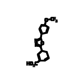 O=C(O)C1=CC(c2nnc(-c3ccc(OC(F)(F)F)cc3)o2)CC=C1